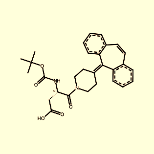 CC(C)(C)OC(=O)N[C@@H](CC(=O)O)C(=O)N1CCC(=C2c3ccccc3C=Cc3ccccc32)CC1